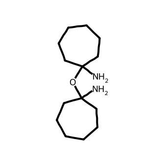 NC1(OC2(N)CCCCCC2)CCCCCC1